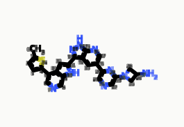 Cc1ccc(-c2cncc3[nH]c(-c4n[nH]c5ncc(-c6cncc(N7CC(N)C7)n6)cc45)cc23)s1